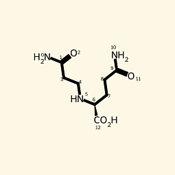 NC(=O)CCN[C@@H](CCC(N)=O)C(=O)O